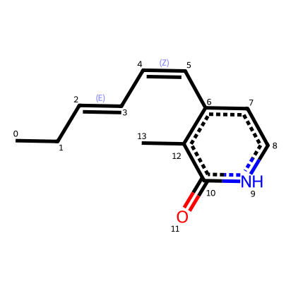 CC/C=C/C=C\c1cc[nH]c(=O)c1C